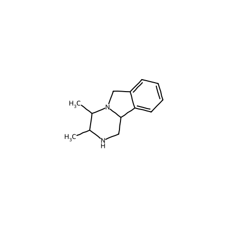 CC1NCC2c3ccccc3CN2C1C